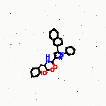 O=C(NC(Cc1ccccc1)C(=O)O)c1cc(-c2ccc3ccccc3c2)n(-c2ccccc2)n1